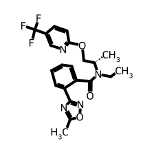 CCN(C(=O)c1ccccc1-c1noc(C)n1)[C@@H](C)COc1ccc(C(F)(F)F)cn1